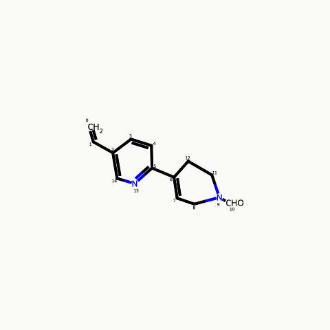 C=Cc1ccc(C2=CCN(C=O)CC2)nc1